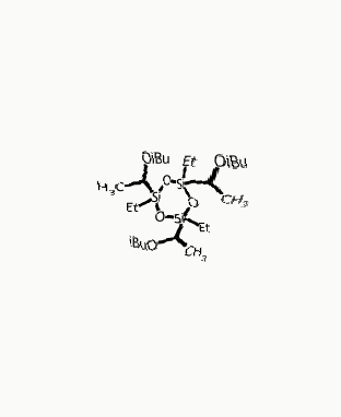 CC[Si]1(C(C)OCC(C)C)O[Si](CC)(C(C)OCC(C)C)O[Si](CC)(C(C)OCC(C)C)O1